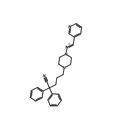 N#CC(CCCN1CCN(/N=C/c2cccnc2)CC1)(c1ccccc1)c1ccccc1